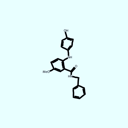 COc1ccc(Nc2ccc(O)cc2)c(C(=O)NCc2ccccc2)c1